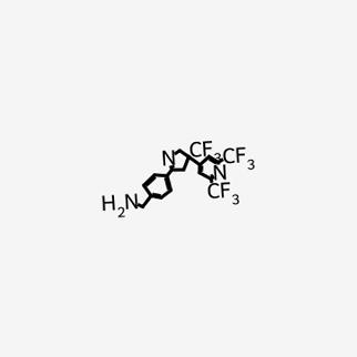 NCc1ccc(C2=NCC(c3cc(C(F)(F)F)nc(C(F)(F)F)c3)(C(F)(F)F)C2)cc1